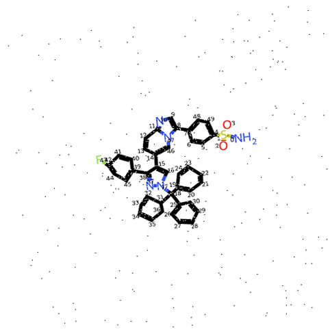 NS(=O)(=O)c1ccc(-c2cnc3ccc(-c4cn(C(c5ccccc5)(c5ccccc5)C5C=CC=CC5)nc4-c4ccc(F)cc4)cn23)cc1